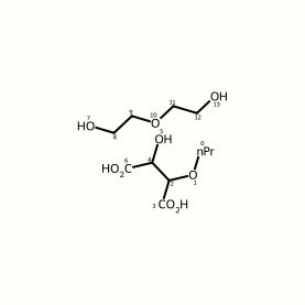 CCCOC(C(=O)O)C(O)C(=O)O.OCCOCCO